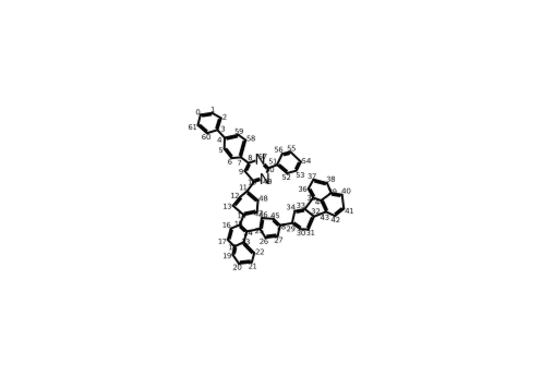 c1ccc(-c2ccc(-c3cc(-c4ccc(-c5ccc6ccccc6c5-c5ccc(-c6ccc7c(c6)-c6cccc8cccc-7c68)cc5)cc4)nc(-c4ccccc4)n3)cc2)cc1